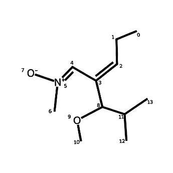 CC/C=C(\C=[N+](/C)[O-])C(OC)C(C)C